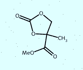 COC(=O)C1(C)COC(=O)O1